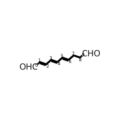 O=CC=CC=CC=CCCC=O